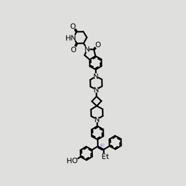 CC/C(=C(\c1ccc(O)cc1)c1ccc(N2CCC3(CC2)CC(N2CCN(c4ccc5c(c4)CN(C4CCC(=O)NC4=O)C5=O)CC2)C3)cc1)c1ccccc1